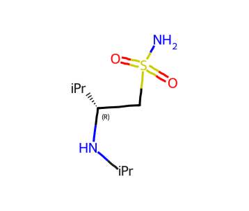 CC(C)N[C@@H](CS(N)(=O)=O)C(C)C